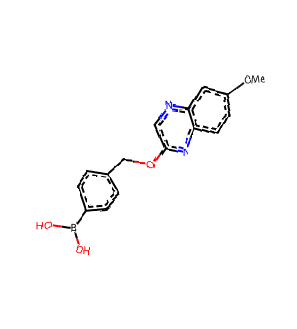 COc1ccc2nc(OCc3ccc(B(O)O)cc3)cnc2c1